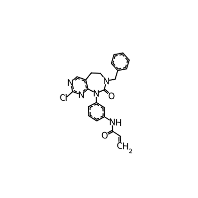 C=CC(=O)Nc1cccc(N2C(=O)N(Cc3ccccc3)CCc3cnc(Cl)nc32)c1